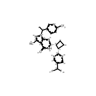 CC(c1ccc(C(F)(F)F)nc1)n1nc(C#N)c2c(=O)[nH]c([C@@H]3CC[C@@H]3c3ncc(C(F)F)cn3)nc21